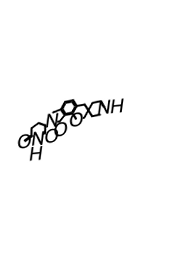 O=C1CCC(N2Cc3ccc4c(c3C2=O)OCC2(CCNCC2)C4)C(=O)N1